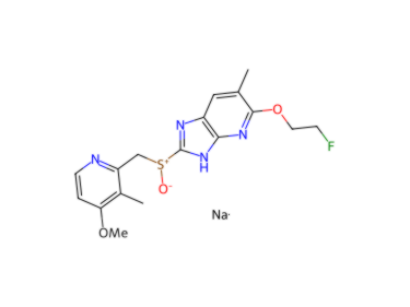 COc1ccnc(C[S+]([O-])c2nc3cc(C)c(OCCF)nc3[nH]2)c1C.[Na]